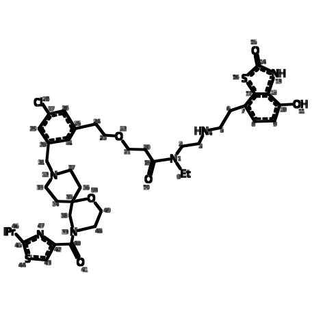 CCN(CCNCCc1ccc(O)c2[nH]c(=O)sc12)C(=O)CCOCCc1cc(Cl)cc(CN2CCC3(CC2)CN(C(=O)c2csc(C(C)C)n2)CCO3)c1